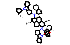 Cc1cccc(-n2c3ccccc3c3cc(N(c4cccc5c4CCCC5)c4cc(C(C)C)c5ccc6c(N(c7cccc8c7CCCC8)c7cccc8c9ccccc9n(-c9cccc(C)c9)c78)cc(C(C)C)c7ccc4c5c76)ccc32)c1